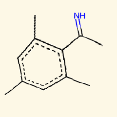 CC(=N)c1c(C)cc(C)cc1C